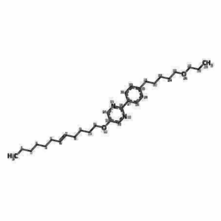 CCCCCCC=CCCCCOc1cnc(-c2ccc(CCCCCOCCC)cc2)nc1